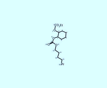 CCOC(=O)OC1CCCCC1OC(=O)OCCCCC(C)C